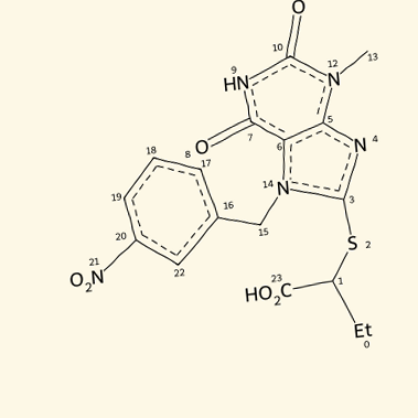 CCC(Sc1nc2c(c(=O)[nH]c(=O)n2C)n1Cc1cccc([N+](=O)[O-])c1)C(=O)O